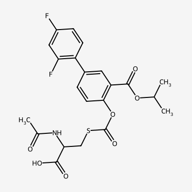 CC(=O)NC(CSC(=O)Oc1ccc(-c2ccc(F)cc2F)cc1C(=O)OC(C)C)C(=O)O